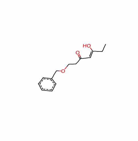 CC/C(O)=C/C(=O)CCOCc1ccccc1